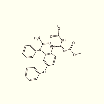 COC(=O)N=C(NC(=O)OC)Nc1ccc(Oc2ccccc2)cc1N(C(N)=O)c1ccccc1